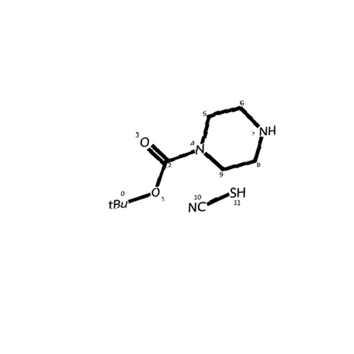 CC(C)(C)OC(=O)N1CCNCC1.N#CS